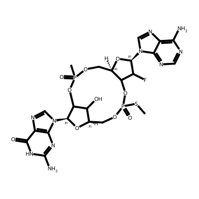 CSP1(=O)OC[C@H]2O[C@@H](n3cnc4c(=O)[nH]c(N)nc43)C(OP(C)(=O)OC[C@H]3O[C@@H](n4cnc5c(N)ncnc54)C(F)C3O1)C2O